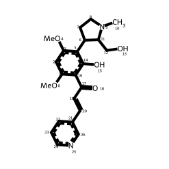 COc1cc(OC)c(C2CCN(C)C2CO)c(O)c1C(=O)C=Cc1cccnc1